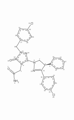 NC(=O)Cn1c(N2C[C@@H](c3ccccc3)C(c3ccc(Cl)cc3)=N2)nn(Cc2ccc(Cl)cc2)c1=O